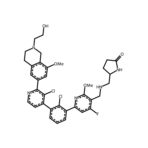 COc1cc(-c2nccc(-c3cccc(-c4cc(F)c(CNCC5CCC(=O)N5)c(OC)n4)c3Cl)c2Cl)cc2c1CN(CCO)CC2